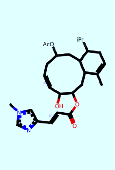 CC(=O)OC1C/C=C\C(O)C(OC(=O)/C=C/c2cn(C)cn2)CC2C(C)=CCC(C(C)C)C2C1